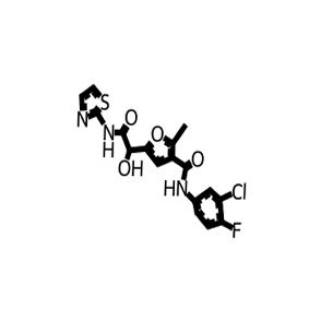 Cc1oc(C(O)C(=O)Nc2nccs2)cc1C(=O)Nc1ccc(F)c(Cl)c1